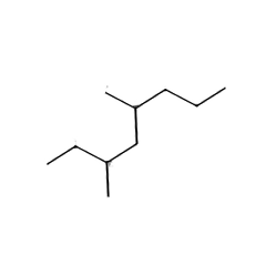 CCCC(C)CC(C)CC